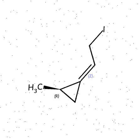 C[C@@H]1C/C1=C/CI